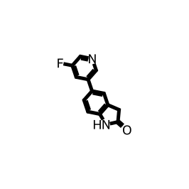 O=C1Cc2cc(-c3cncc(F)c3)ccc2N1